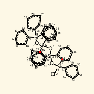 Cl[Si](Cl)(O[Si](O[Si](O[Si](c1ccccc1)(c1ccccc1)c1ccccc1)(c1ccccc1)c1ccccc1)(c1ccccc1)c1ccccc1)c1ccccc1